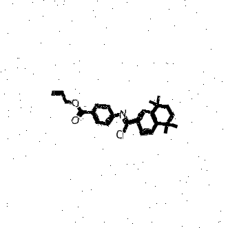 C=CCOC(=O)c1ccc(N=C(Cl)c2ccc3c(c2)C(C)(C)CCC3(C)C)cc1